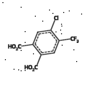 O=C(O)c1cc(Cl)c(C(F)(F)F)cc1C(=O)O